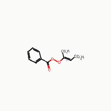 O=C(O)/C=C(/OOC(=O)c1ccccc1)C(=O)O